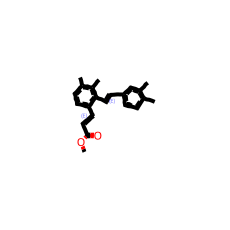 COC(=O)/C=C/c1ccc(C)c(C)c1/C=C/c1ccc(C)c(C)c1